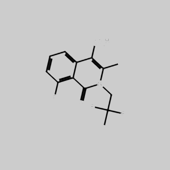 Cc1c(C(=O)O)c2cccc(F)c2c(=O)n1CC(C)(F)F